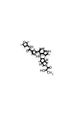 C[C@H](O)C(=O)N1C[C@H]2CC(Nc3c(-c4ncc(C(=O)NC5CCOC5)s4)cnc4[nH]ccc34)C[C@H]2C1